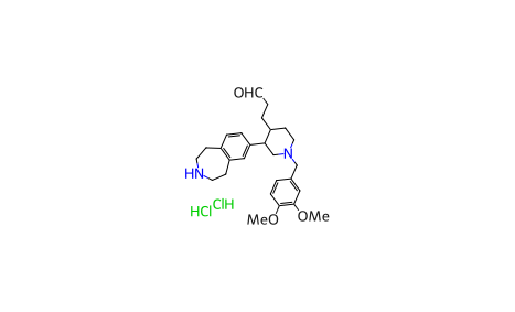 COc1ccc(CN2CCC(CCC=O)C(c3ccc4c(c3)CCNCC4)C2)cc1OC.Cl.Cl